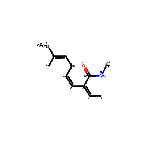 C/C=C(/C=C\C/C=C(\C)CCCCC)C(=O)NCC